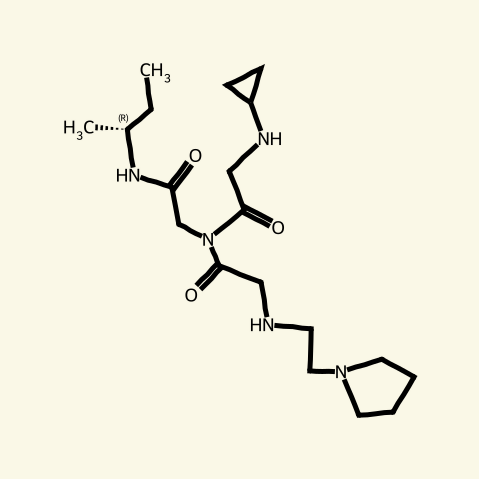 CC[C@@H](C)NC(=O)CN(C(=O)CNCCN1CCCC1)C(=O)CNC1CC1